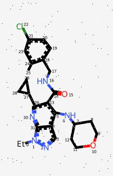 CCn1ncc2c(NC3CCOCC3)c(C(=O)NCc3ccc(Cl)cc3C)c(C3CC3)nc21